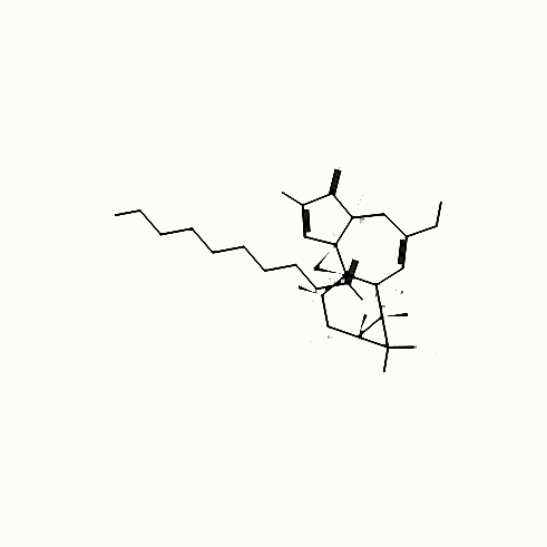 CCCCCCCCCC(=O)O[C@@]12[C@H](O)[C@@H](C)[C@]34C[C@]35C=C(C)C(=O)[C@@]5(O)CC(CO)=C[C@H]4[C@@H]1C2(C)C